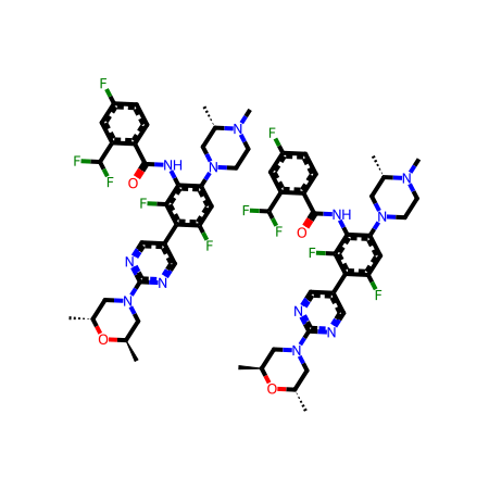 C[C@@H]1CN(c2ncc(-c3c(F)cc(N4CCN(C)[C@@H](C)C4)c(NC(=O)c4ccc(F)cc4C(F)F)c3F)cn2)C[C@@H](C)O1.C[C@H]1CN(c2ncc(-c3c(F)cc(N4CCN(C)[C@@H](C)C4)c(NC(=O)c4ccc(F)cc4C(F)F)c3F)cn2)C[C@H](C)O1